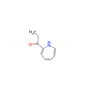 CCC(=O)C1=CC=CC=CN1